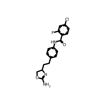 NC1=NC(CCc2ccc(NC(=O)c3ccc(Cl)cc3F)cc2)CO1